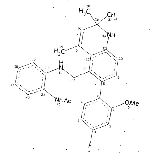 COc1cc(F)ccc1-c1ccc2c(c1CNc1ccccc1NC(C)=O)C(C)=CC(C)(C)N2